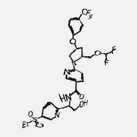 CCS(=O)(=O)c1ccc(C(CO)NC(=O)c2ccc(N3C[C@@H](Oc4ccc(C(F)(F)F)cc4)C[C@H]3COC(F)F)nc2)nc1